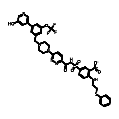 O=C(NS(=O)(=O)c1ccc(NCCSc2ccccc2)c([N+](=O)[O-])c1)c1ccc(N2CCN(Cc3cc(OC(F)(F)F)cc(-c4cncc(O)c4)c3)CC2)nn1